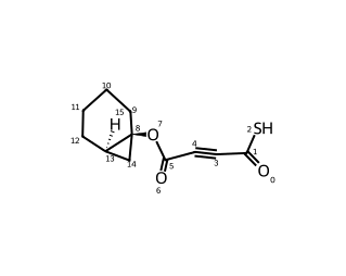 O=C(S)C#CC(=O)O[C@]12CCCC[C@@H]1C2